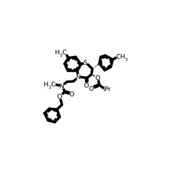 Cc1ccc([C@H]2Sc3cc(C)ccc3N(CCN(C)C(=O)OCc3ccccc3)C(=O)[C@H]2OC(=O)C(C)C)cc1